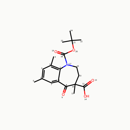 Cc1cc(C)c2c(c1)C(=O)C(C)(C(=O)O)CCN2C(=O)OC(C)(C)C